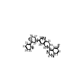 Fc1ccc2ncnc(N3CCc4ncc(N5CCOC(c6ccccn6)C5)cc4C3)c2c1